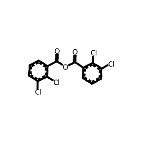 O=C(OC(=O)c1cccc(Cl)c1Cl)c1cccc(Cl)c1Cl